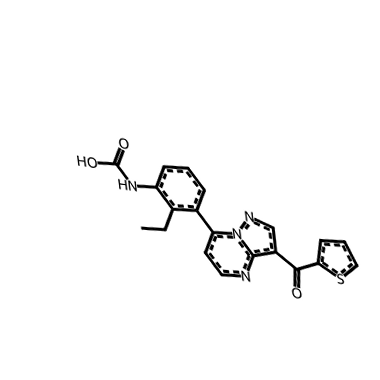 CCc1c(NC(=O)O)cccc1-c1ccnc2c(C(=O)c3cccs3)cnn12